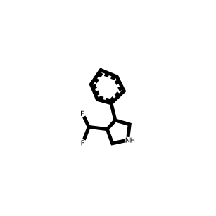 FC(F)C1CNCC1c1ccccc1